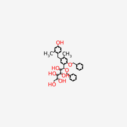 Cc1cc(O)ccc1Cc1cc(C(OCc2ccccc2)[C@H](O)[C@@H](O)[C@H](O)[C@H](O)CO)c(OCc2ccccc2)cc1C